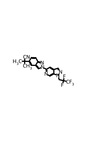 CC(C)(C#N)c1ccc2nn(-c3cc4cnn(CC(F)(F)C(F)(F)F)c4cn3)cc2c1